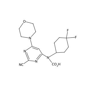 N#Cc1nc(N2CCOCC2)cc(N(C(=O)O)C2CCC(F)(F)CC2)n1